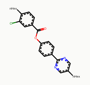 CCCCCCc1cnc(-c2ccc(OC(=O)c3ccc(CCCCCC)c(Cl)c3)cc2)nc1